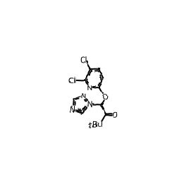 CC(C)(C)C(=O)C(Oc1ccc(Cl)c(Cl)n1)n1cncn1